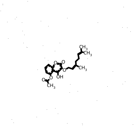 CC(=O)Oc1cccc2oc(=O)c(OCC=C(C)CCC=C(C)C)c(O)c12